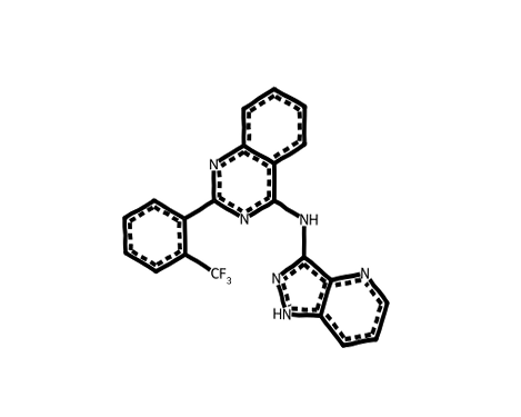 FC(F)(F)c1ccccc1-c1nc(Nc2n[nH]c3cccnc23)c2ccccc2n1